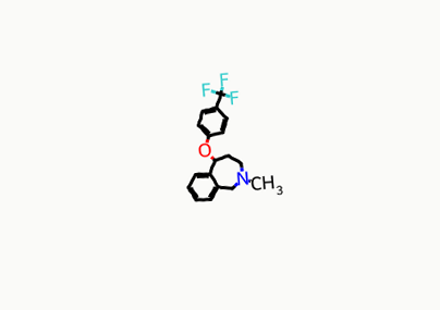 CN1CCC(Oc2ccc(C(F)(F)F)cc2)c2ccccc2C1